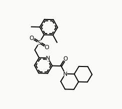 Cc1cccc(C)c1S(=O)(=O)Cc1cccc(C(=O)N2CCCC3CCCCC32)n1